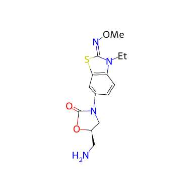 CCn1c(=NOC)sc2cc(N3C[C@@H](CN)OC3=O)ccc21